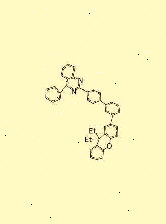 CCC1(CC)c2ccccc2Oc2ccc(-c3cccc(-c4ccc(-c5nc(-c6ccccc6)c6ccccc6n5)cc4)c3)cc21